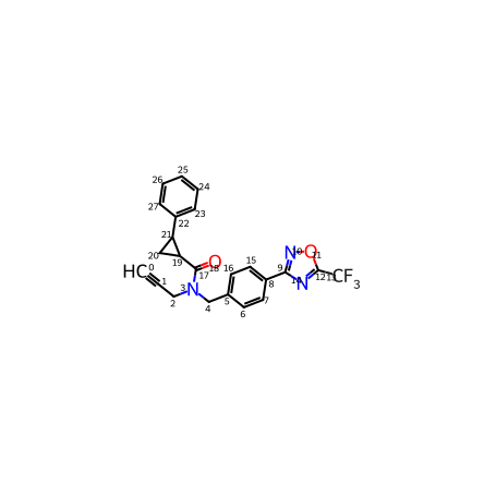 C#CCN(Cc1ccc(-c2noc(C(F)(F)F)n2)cc1)C(=O)C1CC1c1ccccc1